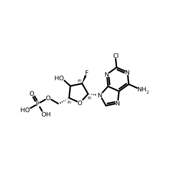 Nc1nc(Cl)nc2c1ncn2[C@@H]1O[C@H](COP(=O)(O)O)C(O)[C@H]1F